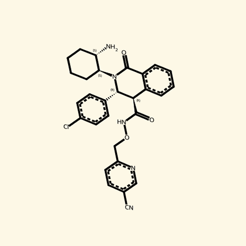 N#Cc1ccc(CONC(=O)[C@@H]2c3ccccc3C(=O)N([C@H]3CCCC[C@@H]3N)[C@H]2c2ccc(Cl)cc2)nc1